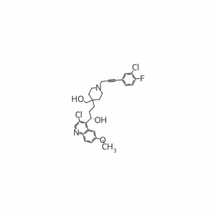 COc1ccc2ncc(Cl)c([C@@H](O)CCC3(CO)CCN(CC#Cc4ccc(F)c(Cl)c4)CC3)c2c1